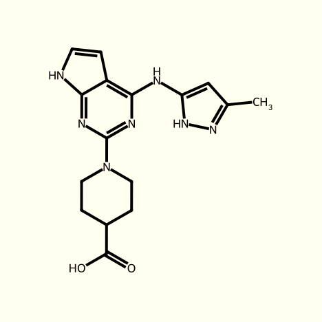 Cc1cc(Nc2nc(N3CCC(C(=O)O)CC3)nc3[nH]ccc23)[nH]n1